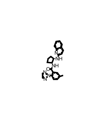 Cc1ccc(-n2nccn2)c(C(=O)N[C@@H]2CCC[C@@H]2Nc2ccc3ccccc3n2)c1